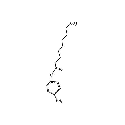 Nc1ccc(OC(=O)CCCCCCCC(=O)O)cc1